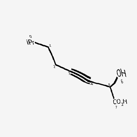 CC(C)CCC#CC(O)C(=O)O